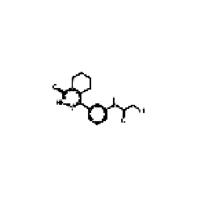 O=C(CCl)Nc1cccc(-c2n[nH]c(=O)c3c2CCCC3)c1